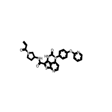 C=CC(=O)N1CCC(NC(=O)c2sc3nccc4c3c2NC(=O)N4c2ccc(Oc3ccccn3)cc2)C1